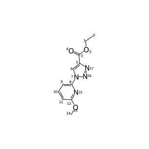 CCOC(=O)c1cn(-c2cccc(OC)n2)nn1